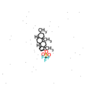 C[C@H]1CC[C@]2(C)C3CC[C@]4(C)C(OS(=O)(=O)C(F)(F)F)=CC=C4[C@@H]3CC[C@H]2C1